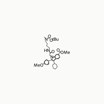 COC(=O)c1ccc2c(C3CCCCC3)c(-c3ccc(OC)cc3)n(CC(=O)NCCCCN(C)C(=O)OC(C)(C)C)c2c1